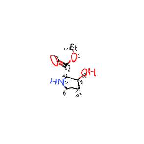 CCOC(=O)[C@H]1NC[C@@H](C)C1O